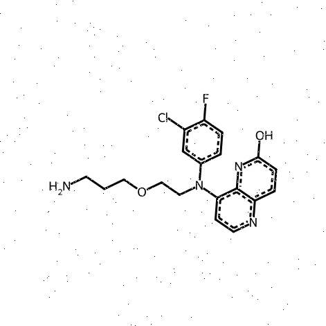 NCCCOCCN(c1ccc(F)c(Cl)c1)c1ccnc2ccc(O)nc12